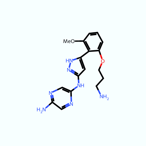 COc1cccc(OCCCN)c1-c1cc(Nc2cnc(N)cn2)n[nH]1